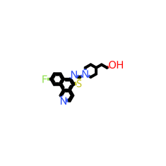 OCCC1CCN(c2nc3c4ccc(F)cc4c4cnccc4c3s2)CC1